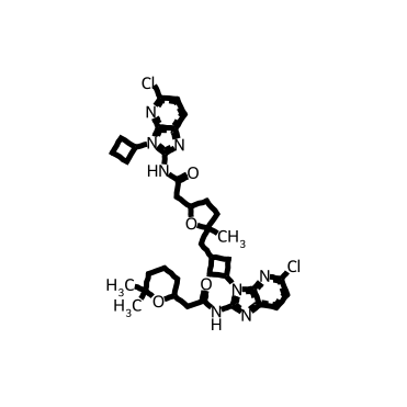 CC1(C)CCCC(CC(=O)Nc2nc3ccc(Cl)nc3n2C2CC(CC3(C)CCC(CC(=O)Nc4nc5ccc(Cl)nc5n4C4CCC4)O3)C2)O1